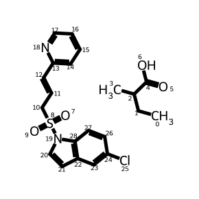 CCC(C)C(=O)O.O=S(=O)(CC=Cc1ccccn1)n1ccc2cc(Cl)ccc21